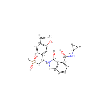 CCOc1cc(C(CS(C)(=O)=O)N2Cc3cccc(C(=O)NC4CC4)c3C2=O)ccc1OC